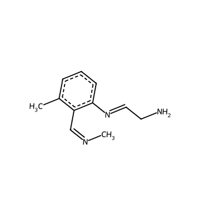 C/N=C\c1c(C)cccc1/N=C/CN